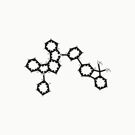 CC1(C)c2ccccc2-c2ccc(-c3cccc(-n4c5ccccc5c5c6c7ccccc7n(-c7ccccc7)c6ccc54)c3)cc21